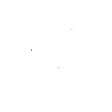 C=C(C)C(=O)OCCOCC.C=COC=C